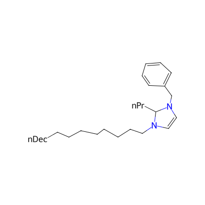 CCCCCCCCCCCCCCCCCCN1C=CN(Cc2ccccc2)C1CCC